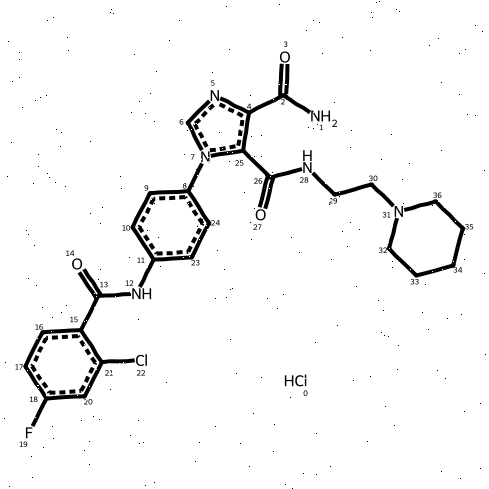 Cl.NC(=O)c1ncn(-c2ccc(NC(=O)c3ccc(F)cc3Cl)cc2)c1C(=O)NCCN1CCCCC1